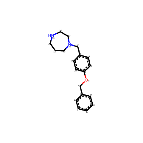 c1ccc(COc2ccc(CN3CCCNCC3)cc2)cc1